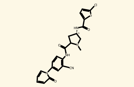 CN1C[C@@H](NC(=O)c2ccc(Cl)s2)CC1C(=O)Nc1ccc(-n2ccccc2=O)cc1C#N